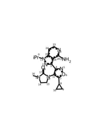 CC(C)n1nc(-c2noc(C3CC3)c2N2CCN(C)C2=O)c2c(N)nccc21